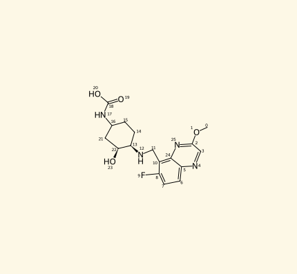 COc1cnc2ccc(F)c(CN[C@@H]3CCC(NC(=O)O)C[C@@H]3O)c2n1